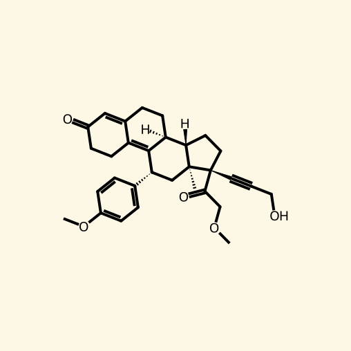 COCC(=O)[C@@]1(C#CCO)CC[C@H]2[C@@H]3CCC4=CC(=O)CCC4=C3[C@@H](c3ccc(OC)cc3)C[C@@]21C